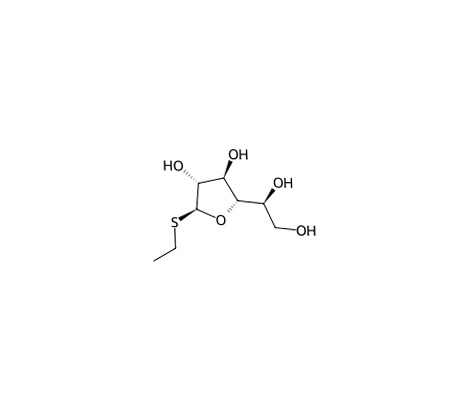 CCS[C@@H]1O[C@@H]([C@@H](O)CO)[C@H](O)[C@H]1O